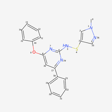 Cn1cc(SNc2nc(Oc3ccccc3)cc(-c3ccccc3)n2)cn1